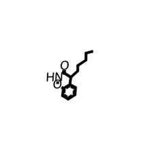 CCCCCC1C(=O)NOc2ccccc21